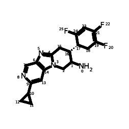 NC1Cn2c(nc3cnc(C4CC4)cc32)CC1[C@H]1CC(F)=C(F)C=C1F